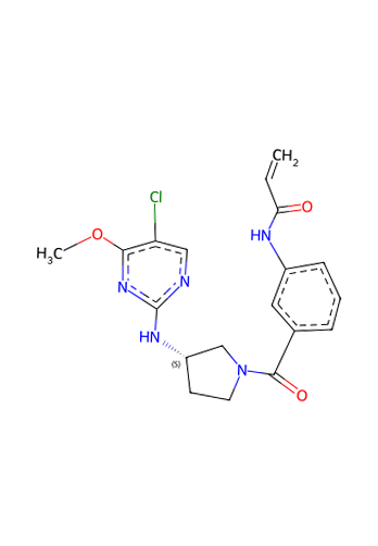 C=CC(=O)Nc1cccc(C(=O)N2CC[C@H](Nc3ncc(Cl)c(OC)n3)C2)c1